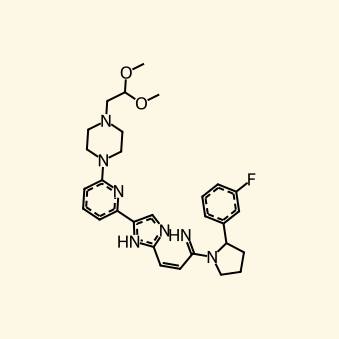 COC(CN1CCN(c2cccc(-c3cnc(/C=C\C(=N)N4CCCC4c4cccc(F)c4)[nH]3)n2)CC1)OC